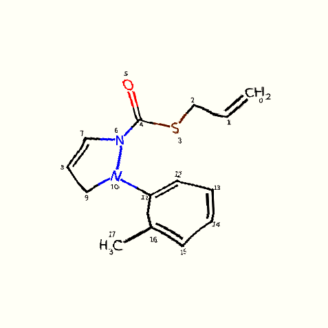 C=CCSC(=O)N1C=CCN1c1ccccc1C